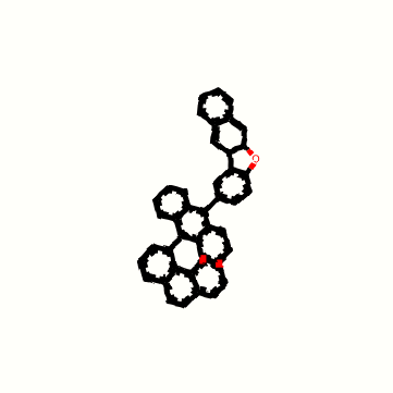 C1=c2ccccc2=CC2c3cc(-c4c5ccccc5c(-c5cccc6ccc7ccccc7c56)c5ccccc45)ccc3OC12